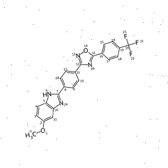 COc1ccc2[nH]c(-c3ccc(-c4noc(-c5ccc(C(F)(F)F)cc5)n4)cc3)nc2c1